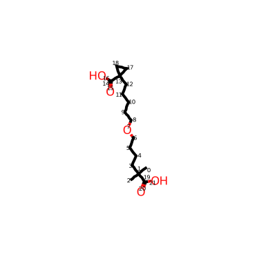 CC(C)(CCCCOCCCCCC1(C(=O)O)CC1)C(=O)O